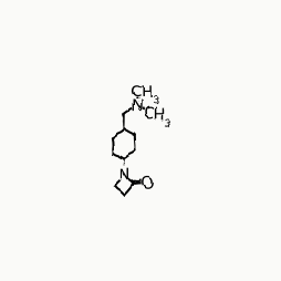 CN(C)C[C@H]1CC[C@H](N2CCC2=O)CC1